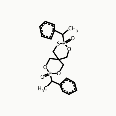 CC(c1ccccc1)P1(=O)OCC2(CO1)COP(=O)(C(C)c1ccccc1)SC2